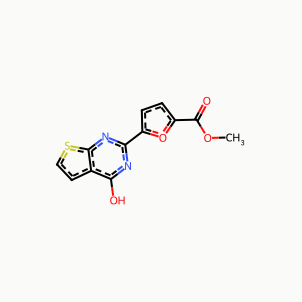 COC(=O)c1ccc(-c2nc(O)c3ccsc3n2)o1